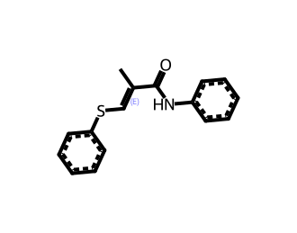 C/C(=C\Sc1ccccc1)C(=O)Nc1ccccc1